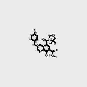 COC(=O)c1cc(C(=O)N2COCC2(C)C)c2cc(Cc3ccc(F)cc3)cnc2c1O